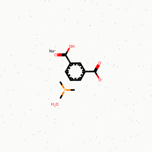 CP(C)C.O.O=C([O-])c1cccc(C(=O)O)c1.[Na+]